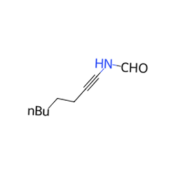 CCCCCCC#CNC=O